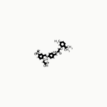 CC1CCC(C(C)C)C(OCC(=O)NCc2ccc(NCc3cc([N+](=O)[O-])ccc3OCC(=O)O)cc2)C1